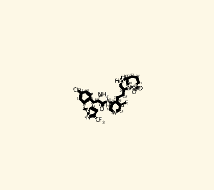 Cn1nc(C(F)(F)F)cc1[C@H](c1ccc(Cl)cc1)[C@H](N)C(=O)Nc1cncc(F)c1CCC1CN[C@@H]2CCCS(=O)(=O)N1C2